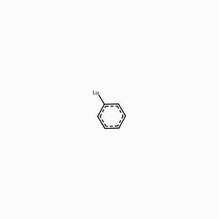 [Lu][c]1ccccc1